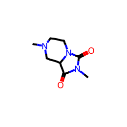 CN1CCN2C(=O)N(C)C(=O)C2C1